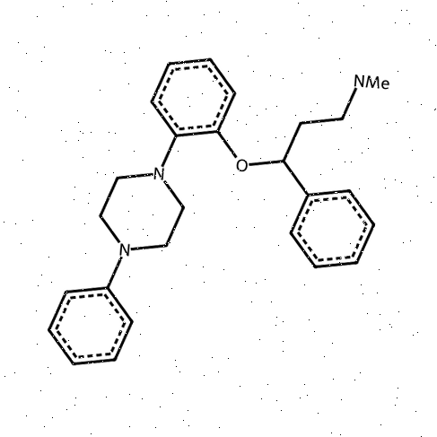 CNCCC(Oc1ccccc1N1CCN(c2ccccc2)CC1)c1ccccc1